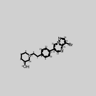 OC1CCCN(CCc2ccc(-c3cnc4c(Br)cnn4c3)cc2)C1